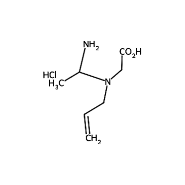 C=CCN(CC(=O)O)C(C)N.Cl